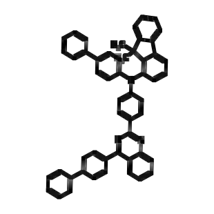 CC1(C)c2ccccc2-c2cccc(N(c3ccc(-c4ccccc4)cc3)c3ccc(-c4nc(-c5ccc(-c6ccccc6)cc5)c5ccccc5n4)cc3)c21